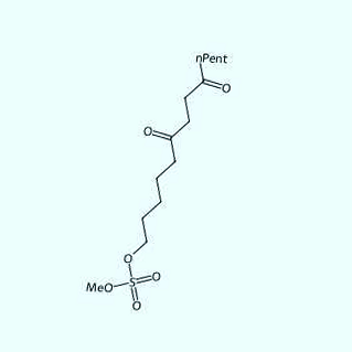 CCCCCC(=O)CCC(=O)CCCCCOS(=O)(=O)OC